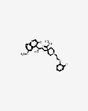 COc1ccc2ncc(Cl)c([C@H](O)CCC3(C(=O)NO)CCN(CCSc4ccccc4Cl)CC3)c2c1